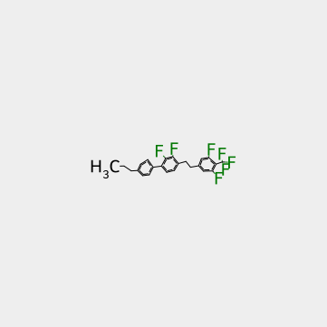 CCCc1ccc(-c2ccc(CCc3cc(F)c(C(F)(F)F)c(F)c3)c(F)c2F)cc1